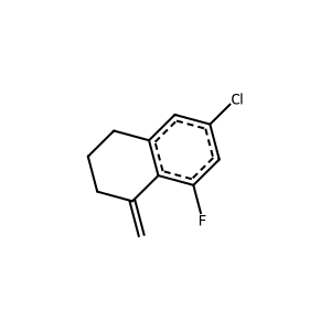 C=C1CCCc2cc(Cl)cc(F)c21